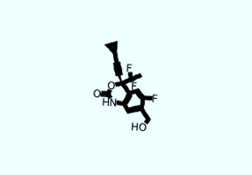 CC(F)(F)[C@@]1(C#CC2CC2)OC(=O)Nc2cc(CO)c(F)cc21